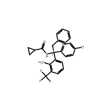 Cc1c(C(F)(F)F)cccc1[C@](Cc1ccccc1)(NC(=O)C1CC1)c1ccc(Cl)cn1